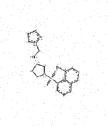 O=S(=O)(c1cccc2cncc(Br)c12)N1CC[C@H](NCc2ccc[nH]2)C1